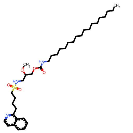 CCCCCCCCCCCCCCCCCCNC(=O)OCC(CNS(=O)(=O)CCCCc1nccc2ccccc12)OC